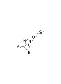 CC(=O)c1cc(Br)cc2c1ncn2COCC[Si](C)(C)C